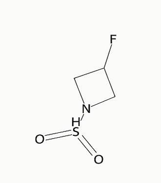 O=[SH](=O)N1CC(F)C1